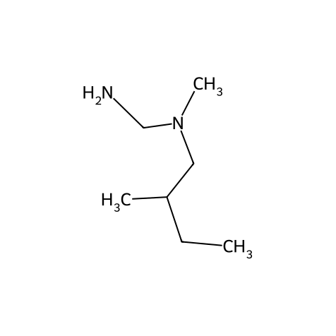 CCC(C)CN(C)CN